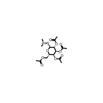 CC(=O)OC[C@H]1O[C@@H](S[As](C)C)[C@H](OC(C)=O)[C@@H](OC(C)=O)[C@H]1OC(C)=O